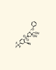 N#Cc1cc(C(F)(F)F)ccc1S(=O)(=O)N1C[C@H](COc2ccccc2)[C@](O)(CO)C1